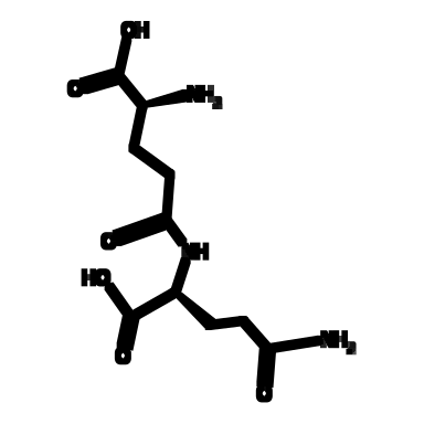 NC(=O)CC[C@H](NC(=O)CC[C@H](N)C(=O)O)C(=O)O